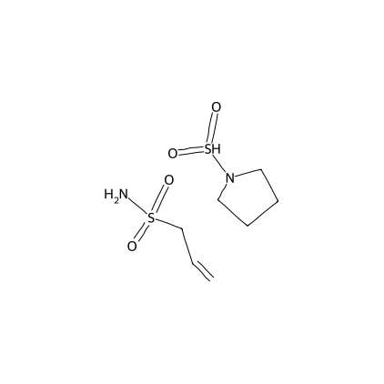 C=CCS(N)(=O)=O.O=[SH](=O)N1CCCC1